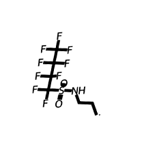 [CH2]CCNS(=O)(=O)C(F)(F)C(F)(F)C(F)(F)C(F)(F)F